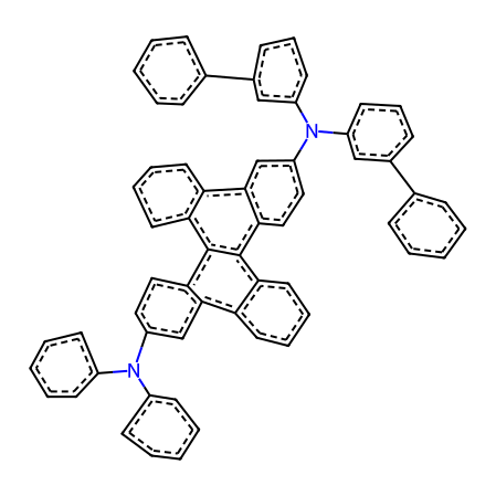 c1ccc(-c2cccc(N(c3cccc(-c4ccccc4)c3)c3ccc4c(c3)c3ccccc3c3c5ccc(N(c6ccccc6)c6ccccc6)cc5c5ccccc5c43)c2)cc1